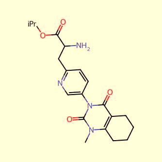 CC(C)OC(=O)C(N)Cc1ccc(-n2c(=O)c3c(n(C)c2=O)CCCC3)cn1